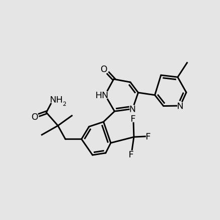 Cc1cncc(-c2cc(=O)[nH]c(-c3cc(CC(C)(C)C(N)=O)ccc3C(F)(F)F)n2)c1